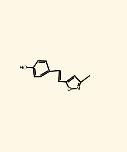 Cc1cc(C=Cc2ccc(O)cc2)on1